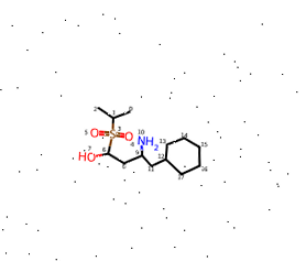 CC(C)S(=O)(=O)C(O)CC(N)CC1CCCCC1